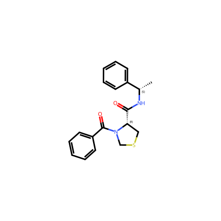 C[C@H](NC(=O)[C@@H]1CSCN1C(=O)c1ccccc1)c1ccccc1